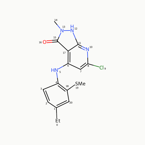 CCc1ccc(Nc2cc(Cl)nc3[nH]n(C)c(=O)c23)c(SC)c1